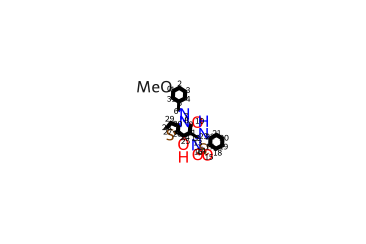 COc1cccc(/C=N/n2c(=O)c(C3=NS(=O)(=O)c4ccccc4N3)c(O)c3sccc32)c1